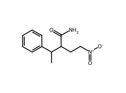 CC(c1ccccc1)C(CC[N+](=O)[O-])C(N)=O